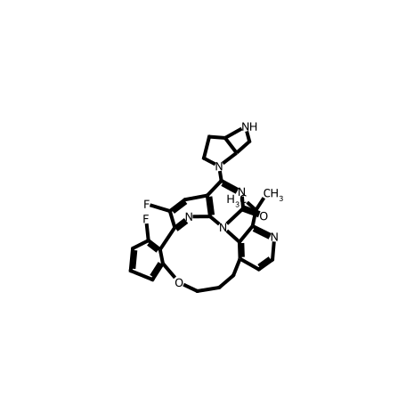 CC(C)c1nccc2c1-n1c(=O)nc(N3CCC4NCC43)c3cc(F)c(nc31)-c1c(F)cccc1OCCC2